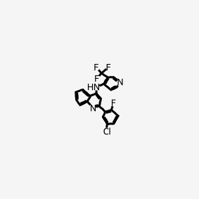 Fc1ccc(Cl)cc1-c1cc(Nc2ccncc2C(F)(F)F)c2ccccc2n1